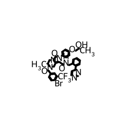 C[C@H](O)COc1ccc(-n2c(C(=O)NCc3ccccc3-c3ccncn3)c3n(c2=O)C[C@@H](C)N(C(=O)c2ccc(Br)c(C(F)(F)F)c2)C3)cc1